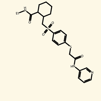 CCNC(=O)C1CCCCC1CS(=O)(=O)c1ccc(SCC(=O)Nc2cccnc2)cc1